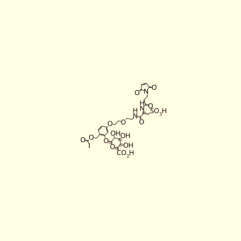 O=C(CCN1C(=O)C=CC1=O)N[C@@H](CS(=O)(=O)O)C(=O)NCCOCCOc1ccc(COC(=O)I)c(O[C@@H]2O[C@H](C(=O)O)[C@@H](O)[C@H](O)C2O)c1